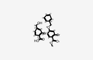 COC(=O)c1ccc(OCc2ccccc2)cc1Br.O=C(O)c1ccc(CO)cc1Br